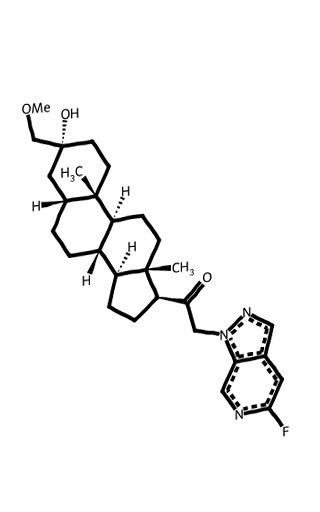 COC[C@@]1(O)CC[C@@]2(C)[C@H](CC[C@@H]3[C@@H]2CC[C@]2(C)[C@@H](C(=O)Cn4ncc5cc(F)ncc54)CC[C@@H]32)C1